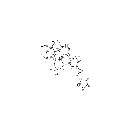 Cc1ncc(-c2ccc(OC[C@@H]3CCCO3)cn2)c(N2CCC(C)(C)CC2)c1[C@H](OC(C)(C)C)C(=O)O